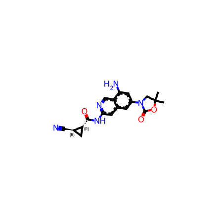 CC1(C)CN(c2cc(N)c3cnc(NC(=O)[C@@H]4C[C@H]4C#N)cc3c2)C(=O)O1